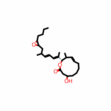 CCCCC1OC1CC(C)/C=C/C=C(\C)[C@H]1OC(=O)CC(O)CCCC/C=C/C1C